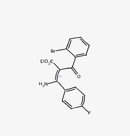 CCOC(=O)/C(C(=O)c1ccccc1Br)=C(\N)c1ccc(F)cc1